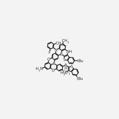 Cc1cc2c3c(c1)N(c1c(C)cccc1F)c1cc4c(cc1B3c1sc3ccc(C(C)(C)C)cc3c1N2)B1c2cc(Bc3sc5ccc(C(C)(C)C)cc5c3C)c(C)cc2Oc2cc(N)cc(c21)O4